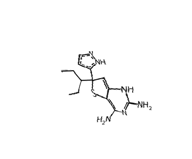 CCC(CC)C1(c2ccn[nH]2)C=C2NC(N)=NC(N)=C2S1